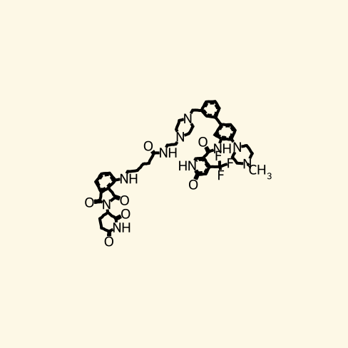 CN1CCN(c2ccc(-c3cccc(CN4CCN(CCNC(=O)CCCCNc5cccc6c5C(=O)N(C5CCC(=O)NC5=O)C6=O)CC4)c3)cc2NC(=O)c2c[nH]c(=O)cc2C(F)(F)F)CC1